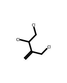 C=C(CCl)C(Cl)CCl